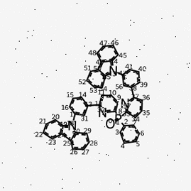 O=P(c1ccccc1)(c1cccc(-c2cccc(-n3c4ccccc4c4ccccc43)c2)n1)c1cccc(-c2cccc(-n3c4ccccc4c4ccccc43)c2)n1